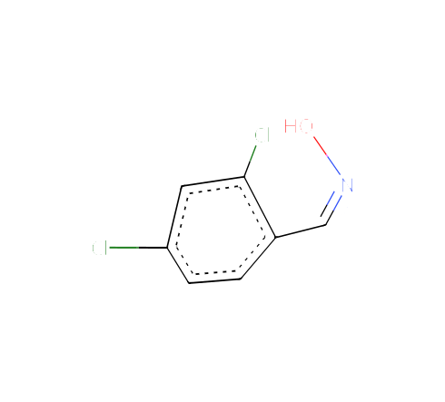 O/N=C\c1ccc(Cl)cc1Cl